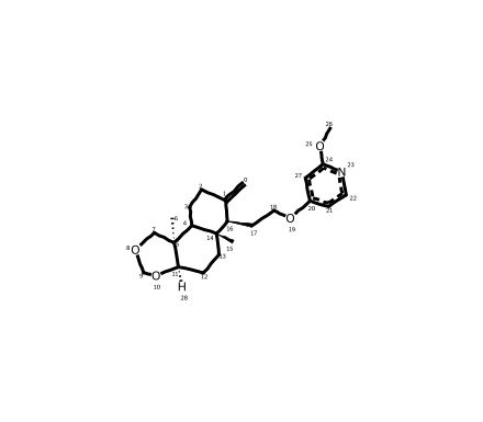 C=C1CCC2[C@]3(C)COCO[C@@H]3CC[C@@]2(C)[C@@H]1CCOc1ccnc(OC)c1